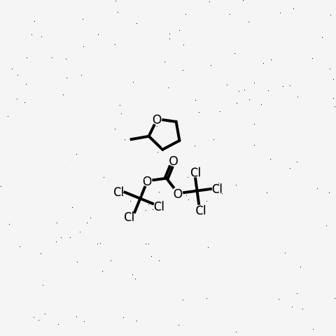 CC1CCCO1.O=C(OC(Cl)(Cl)Cl)OC(Cl)(Cl)Cl